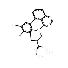 CN/N=C(\OC=O)C1CCCN(c2ncnc3cccc(-c4ccc(Cl)c(Cl)c4)c23)C1